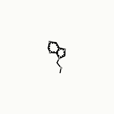 COCn1cnc2cncnc21